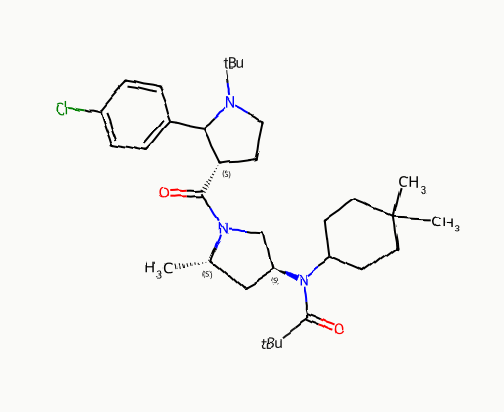 C[C@H]1C[C@H](N(C(=O)C(C)(C)C)C2CCC(C)(C)CC2)CN1C(=O)[C@H]1CCN(C(C)(C)C)C1c1ccc(Cl)cc1